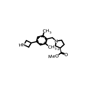 COC(=O)[C@@H]1CCN(Cc2c(C)cc(C3CNC3)cc2C)C1